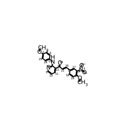 COc1ccc(Nc2ncccc2C(=O)C=Cc2ccc(OC)c([N+](=O)[O-])c2)cc1